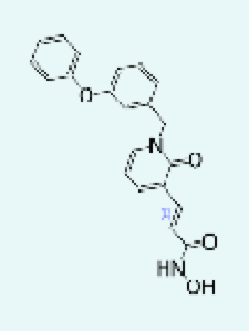 O=C(/C=C/c1cccn(Cc2cccc(Oc3ccccc3)c2)c1=O)NO